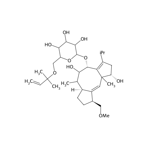 C=CC(C)(C)OCC1OC(O[C@@H]2C3=C(C(C)C)C[C@H](O)C3(C)/C=C3/[C@@H](COC)CC[C@H]3C(C)C2O)C(O)C(O)C1O